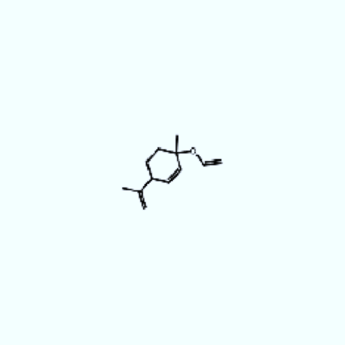 C=COC1(C)C=CC(C(=C)C)CC1